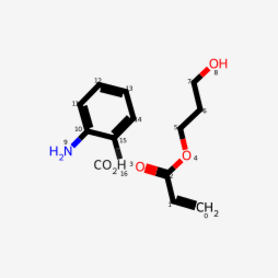 C=CC(=O)OCCCO.Nc1ccccc1C(=O)O